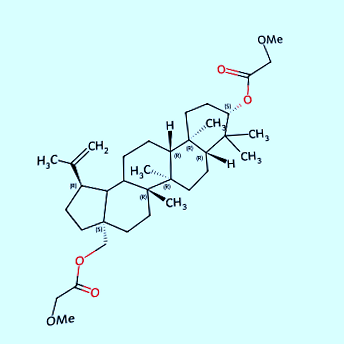 C=C(C)[C@@H]1CC[C@]2(COC(=O)COC)CC[C@]3(C)C(CC[C@@H]4[C@@]5(C)CC[C@H](OC(=O)COC)C(C)(C)[C@@H]5CC[C@]43C)C12